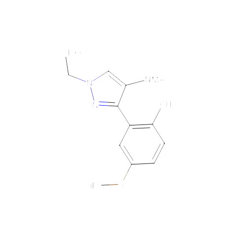 CNc1cn(CC=O)nc1-c1cc(SC(C)C)ccc1C